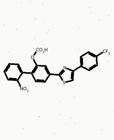 O=C(O)Oc1cc(-c2nc(-c3ccc(C(F)(F)F)cc3)cs2)ccc1-c1ccccc1[N+](=O)[O-]